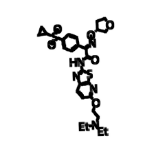 CCN(CC)CCOc1ccc2nc(NC(=O)/C(=N/O[C@@H]3CCOC3)c3ccc(S(=O)(=O)C4CC4)cc3)sc2n1